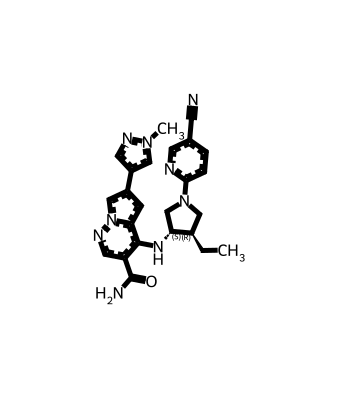 CC[C@@H]1CN(c2ccc(C#N)cn2)C[C@H]1Nc1c(C(N)=O)cnn2cc(-c3cnn(C)c3)cc12